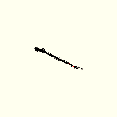 CCCCCCCCCCCCCCCCCCCCCCCCCCCCCCCCCCCCCCC(=O)NCCCC1OCCO1